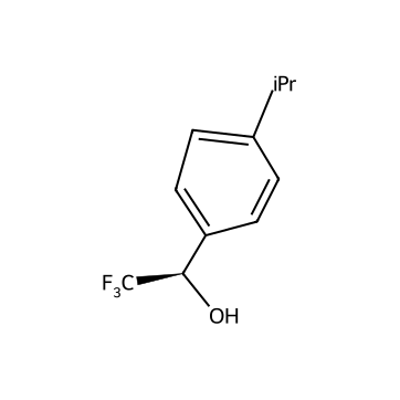 CC(C)c1ccc([C@@H](O)C(F)(F)F)cc1